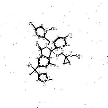 Cn1cc(C(C)(O)c2cc(F)c3c(c2)C(=O)N(Cc2ccc(Cl)c[n+]2[O-])[C@@]3(OCC2(CO)CC2)c2ccc(Cl)cc2)cn1